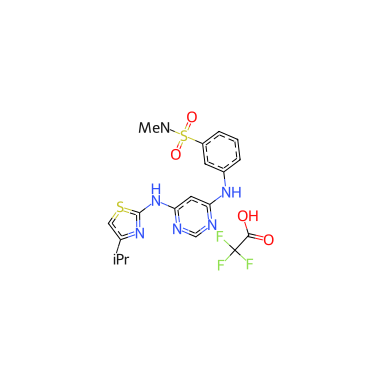 CNS(=O)(=O)c1cccc(Nc2cc(Nc3nc(C(C)C)cs3)ncn2)c1.O=C(O)C(F)(F)F